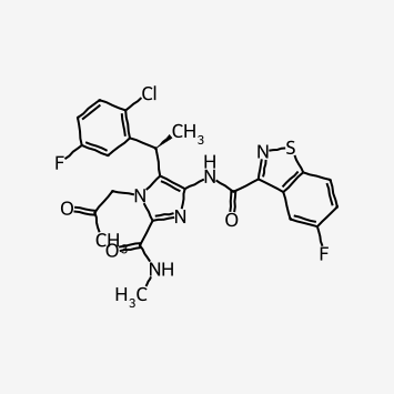 CNC(=O)c1nc(NC(=O)c2nsc3ccc(F)cc23)c([C@H](C)c2cc(F)ccc2Cl)n1CC(C)=O